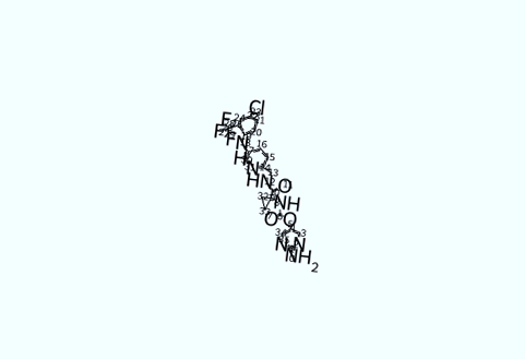 Nc1ncc(OC(=O)NC2(C(=O)NCc3ccc(Nc4ccc(Cl)cc4C(F)(F)F)cn3)CC2)cn1